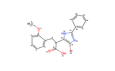 COc1ccccc1CC(C(=O)O)c1[nH]c(-c2ccccc2)nc1Br